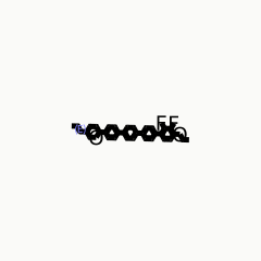 C/C=C/C1CCC(c2ccc(C3=CC=C(c4ccc(-c5ccc(OCC)c(F)c5F)cc4)CC3)cc2)OC1